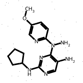 COc1ccc(N(N)c2nc(NC3CCCC3)ncc2N)nc1